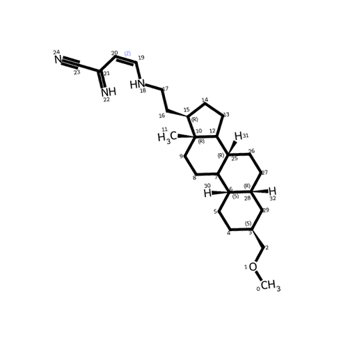 COC[C@H]1CC[C@@H]2C3CC[C@@]4(C)C(CC[C@@H]4CCN/C=C\C(=N)C#N)[C@@H]3CC[C@@H]2C1